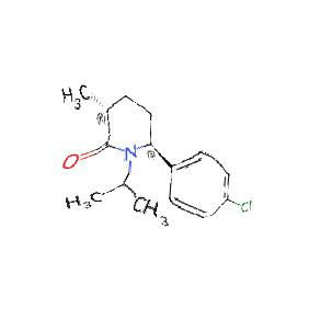 CC(C)N1C(=O)[C@H](C)CC[C@H]1c1ccc(Cl)cc1